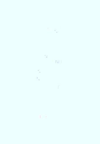 O=[N+]([O-])c1ccc2[nH]c(-c3cc(-c4ccc(CO)cc4F)n[nH]3)nc2c1